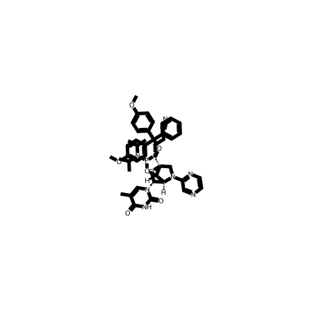 COc1ccc(C(OC[C@@]23CN(c4cnccn4)[C@@H]([C@H](n4cc(C)c(=O)[nH]c4=O)O2)[C@@H]3OP(OCCC#N)N(C(C)C)C(C)C)(c2ccccc2)c2ccc(OC)cc2)cc1